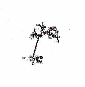 CCCCNC(=O)CCC(CC(CC(CCCCCCCCCCCCCCCCCOC[C@H]1O[C@@H](n2cc(C#CCO)c3c(=O)[nH]c(N)nc32)CC1OP(=O)(O)OC[C@H]1O[C@@H](n2cc(C#CCO)c3c(N)ncnc32)CC1OP(=O)(O)OC[C@H]1O[C@@H](n2cc(C#CCO)c(N)nc2=O)CC1OP(=O)(O)OC[C@H]1O[C@@H](n2cc(C#CCO)c(=O)[nH]c2=O)CC1O)C(=O)NCC(=O)O)C(=O)NCCN(C)C)C(=O)NCc1ccccc1